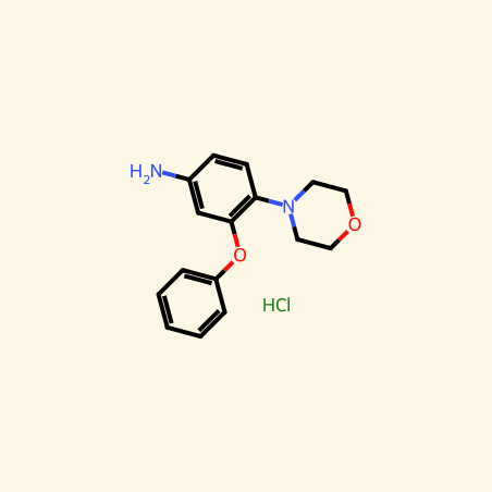 Cl.Nc1ccc(N2CCOCC2)c(Oc2ccccc2)c1